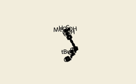 COC(=O)[C@@H](NC(=O)c1ccc(C#CC#Cc2ccc(CN(CCCN3CCOCC3)C(=O)OC(C)(C)C)o2)cc1)[C@@H](C)O